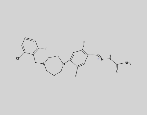 NC(=S)N/N=C/c1cc(F)c(N2CCCN(Cc3c(F)cccc3Cl)CC2)cc1F